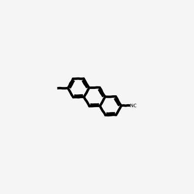 [C-]#[N+]c1ccc2cc3cc(C)ccc3cc2c1